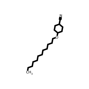 CCCCCCCCCCCCOC1CCC(C#N)CC1